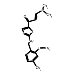 COc1cc(C)ccc1CNc1ncc(C(=O)/C=C/N(C)C)s1